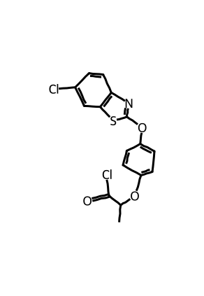 CC(Oc1ccc(Oc2nc3ccc(Cl)cc3s2)cc1)C(=O)Cl